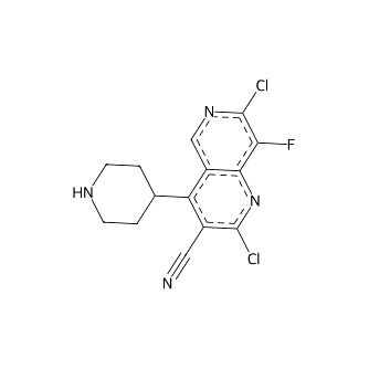 N#Cc1c(Cl)nc2c(F)c(Cl)ncc2c1C1CCNCC1